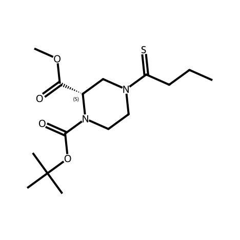 CCCC(=S)N1CCN(C(=O)OC(C)(C)C)[C@H](C(=O)OC)C1